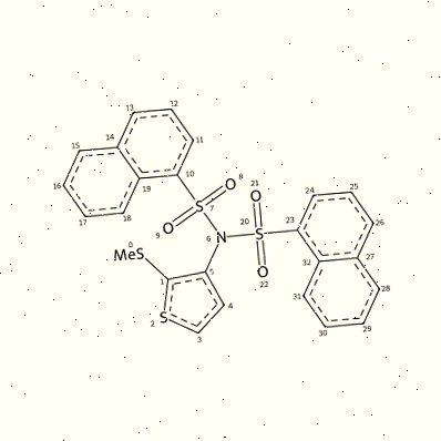 CSc1sccc1N(S(=O)(=O)c1cccc2ccccc12)S(=O)(=O)c1cccc2ccccc12